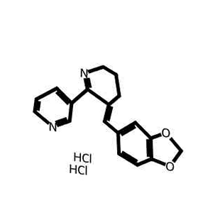 C(=C1CCCN=C1c1cccnc1)c1ccc2c(c1)OCO2.Cl.Cl